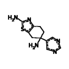 Nc1nc2c(s1)CC(N)(c1cncnc1)CC2